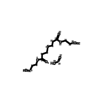 CCCCCCCCCCCCOC(=O)CCSCCC(=O)OCCCCCCCCCCCC.O=PO